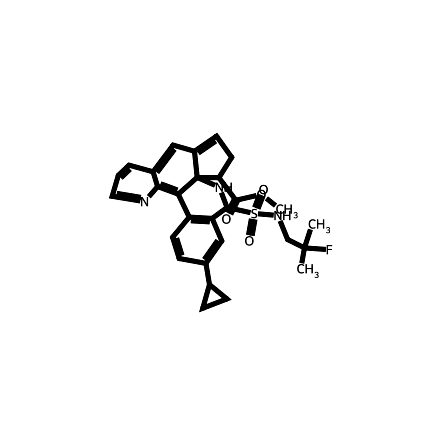 COC(=O)C1CC=C2C=c3cccnc3=C3c4ccc(C5CC5)cc4C(S(=O)(=O)NCC(C)(C)F)NC231